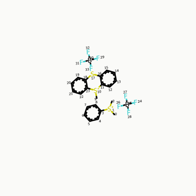 C[S+](C)c1ccccc1.C[S+]1c2ccccc2Sc2ccccc21.F[B-](F)(F)F.F[B-](F)(F)F